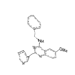 COc1ccc2nc(-c3cccnc3)nc(NCc3ccccc3)c2c1